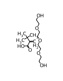 C=C(C(=O)O)C(C)(C)C.OCCOCCOCCOCCO